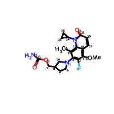 COc1c(F)c(N2CCC(COC(N)=O)C2)c(C)c2c1ccc(=O)n2C1CC1